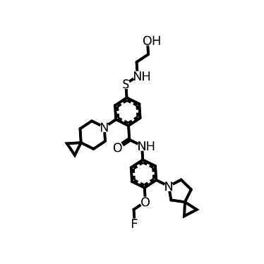 O=C(Nc1ccc(OCF)c(N2CCC3(CC3)C2)c1)c1ccc(SNCCO)cc1N1CCC2(CC1)CC2